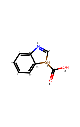 O=C(O)[SH]1C=Nc2ccccc21